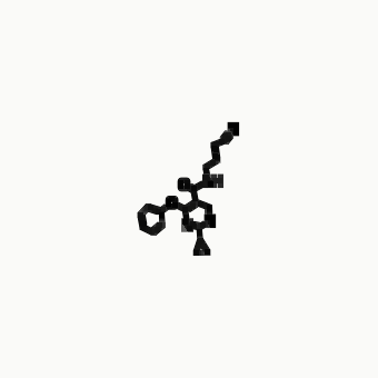 N#C/C=C/CNC(=O)c1cnc(C2CC2)nc1Oc1ccccc1